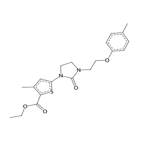 CCOC(=O)c1sc(N2CCN(CCOc3ccc(C)cc3)C2=O)cc1C